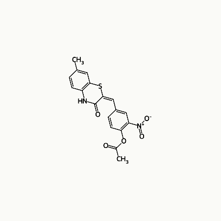 CC(=O)Oc1ccc(/C=C2/Sc3cc(C)ccc3NC2=O)cc1[N+](=O)[O-]